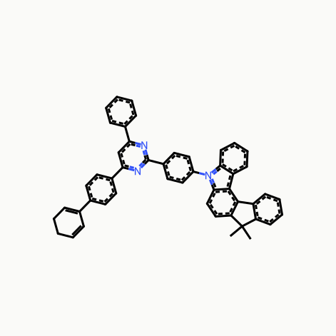 CC1(C)c2ccccc2-c2c1ccc1c2c2ccccc2n1-c1ccc(-c2nc(-c3ccccc3)cc(-c3ccc(C4=CCCC=C4)cc3)n2)cc1